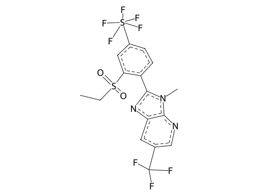 CCS(=O)(=O)c1cc(S(F)(F)(F)(F)F)ccc1-c1nc2cc(C(F)(F)F)cnc2n1C